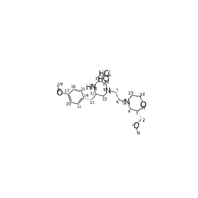 COC[C@@H]1CN(CCN2CCNC(Cc3ccc(OC)cc3)C2)CCO1.Cl.Cl